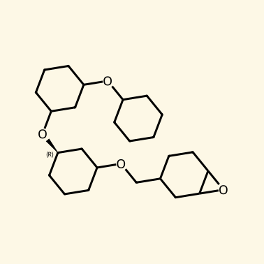 C1CCC(OC2CCCC(O[C@@H]3CCCC(OCC4CCC5OC5C4)C3)C2)CC1